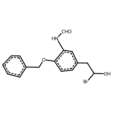 O=CNc1cc(CC(O)Br)ccc1OCc1ccccc1